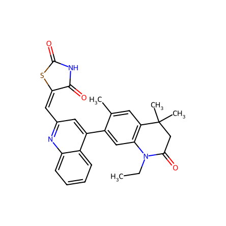 CCN1C(=O)CC(C)(C)c2cc(C)c(-c3cc(C=C4SC(=O)NC4=O)nc4ccccc34)cc21